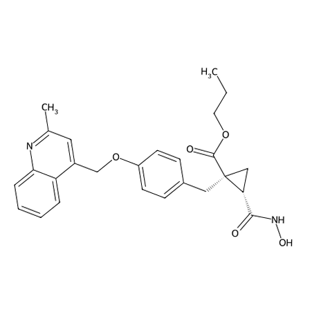 CCCOC(=O)[C@@]1(Cc2ccc(OCc3cc(C)nc4ccccc34)cc2)C[C@@H]1C(=O)NO